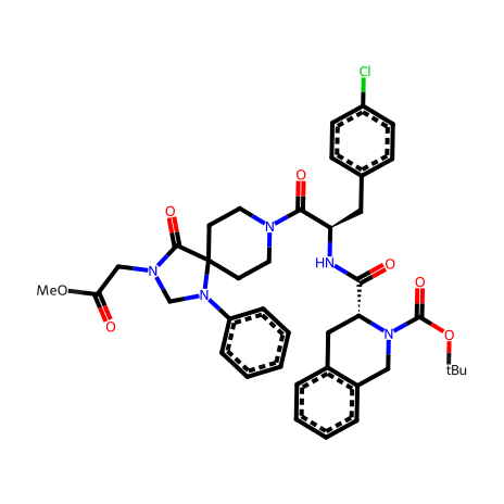 COC(=O)CN1CN(c2ccccc2)C2(CCN(C(=O)[C@@H](Cc3ccc(Cl)cc3)NC(=O)[C@H]3Cc4ccccc4CN3C(=O)OC(C)(C)C)CC2)C1=O